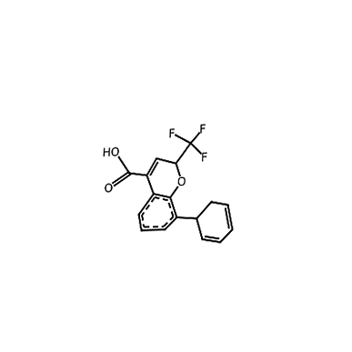 O=C(O)C1=CC(C(F)(F)F)Oc2c1cccc2C1C=CC=CC1